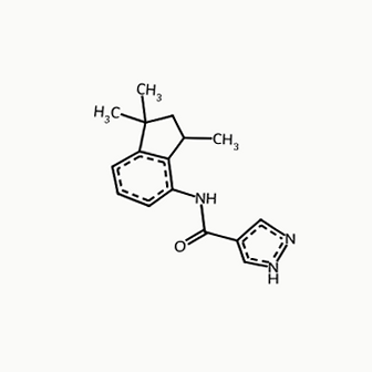 CC1CC(C)(C)c2cccc(NC(=O)c3cn[nH]c3)c21